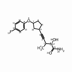 CC(C#CC1CCC(Oc2ccc(F)cc2)C1)N(O)C(N)=O